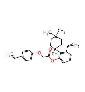 C=Cc1ccc(OCC(=O)Oc2cccc(C=C)c2C2(C)CC[Si](C)(C)CC2)cc1